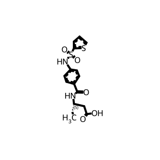 CC[C@@H](CC(=O)O)NC(=O)c1ccc(NS(=O)(=O)c2cccs2)cc1